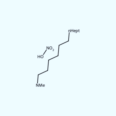 CCCCCCCCCCCCCNC.O=[N+]([O-])O